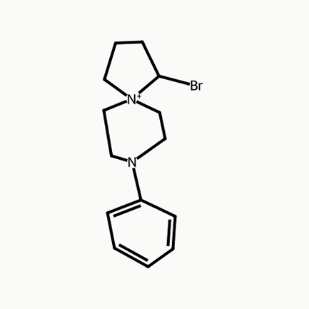 BrC1CCC[N+]12CCN(c1ccccc1)CC2